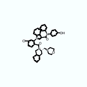 O=C(c1cn(-c2cc(Cl)ccc2C(=O)N2Cc3ccccc3C[C@H]2CN2CCOCC2)c2ccccc12)N(c1ccccc1)c1ccc(O)cc1